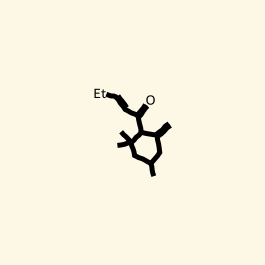 C=C1CC(C)CC(C)(C)C1C(=O)C=CCC